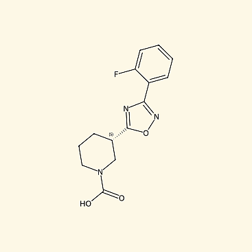 O=C(O)N1CCC[C@H](c2nc(-c3ccccc3F)no2)C1